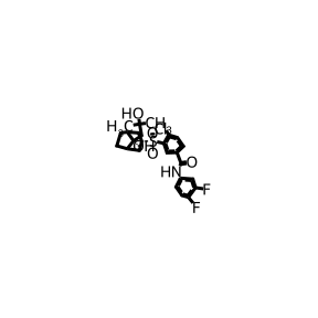 CC(C)(O)C[C@]1(O)C2CCC1C[C@@H](S(=O)(=O)c1cc(C(=O)Nc3ccc(F)c(F)c3)ccc1Cl)C2